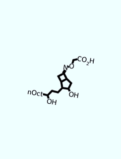 CCCCCCCCC(O)CCC1C(O)CC2/C(=N\OCC(=O)O)CC21